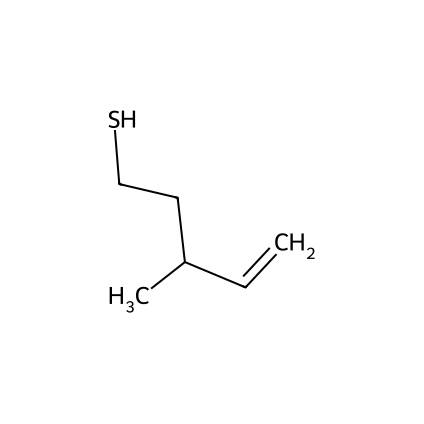 C=CC(C)CCS